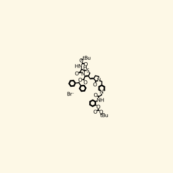 CC(C)(C)OC(=O)N[C@@H]1C(=O)N2C(C(=O)OC(c3ccccc3)c3ccccc3)=C(/C=C3\CCN(Cc4cc[n+](CC(=O)Nc5ccccc5OC(=O)OC(C)(C)C)cc4)C3=O)CS[C@H]12.[Br-]